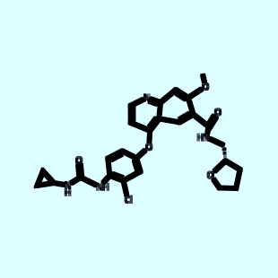 COc1cc2nccc(Oc3ccc(NC(=O)NC4CC4)c(Cl)c3)c2cc1C(=O)NC[C@@H]1CCCO1